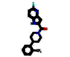 O=C(c1cc2nc(F)ccc2[nH]1)N1CCC(c2ccccc2C(F)(F)F)CC1